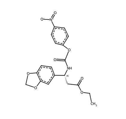 CCOC(=O)C[C@@H](NC(=O)Oc1ccc([N+](=O)[O-])cc1)c1ccc2c(c1)OCO2